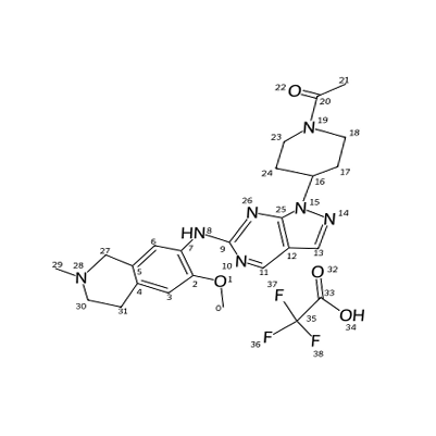 COc1cc2c(cc1Nc1ncc3cnn(C4CCN(C(C)=O)CC4)c3n1)CN(C)CC2.O=C(O)C(F)(F)F